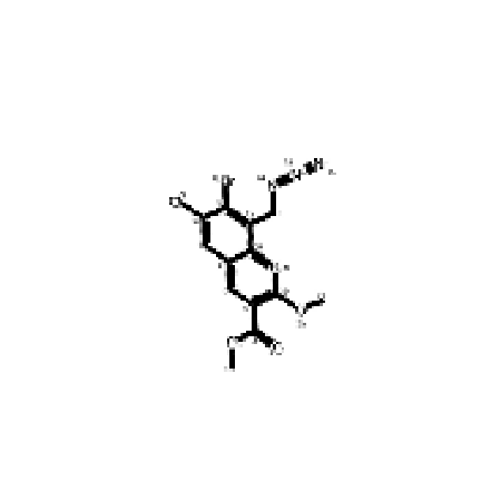 COC(=O)c1cc2cc(Cl)c(Br)c(CN=[N+]=[N-])c2nc1OC